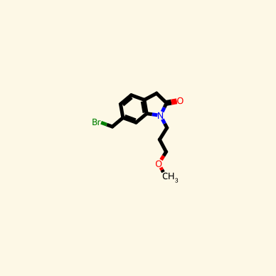 COCCCN1C(=O)Cc2ccc(CBr)cc21